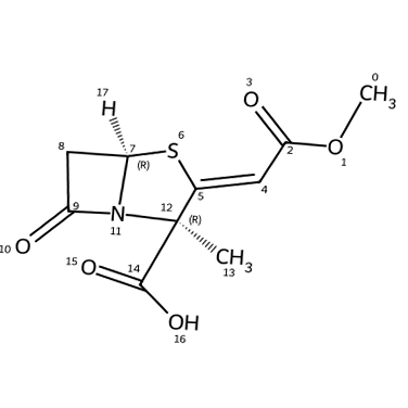 COC(=O)C=C1S[C@@H]2CC(=O)N2[C@]1(C)C(=O)O